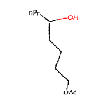 CCCC(O)CCCCOC(C)=O